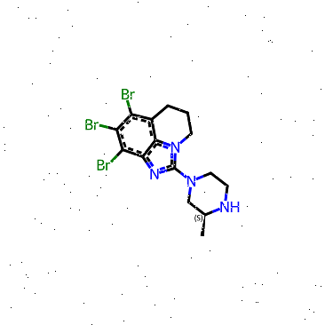 C[C@H]1CN(c2nc3c(Br)c(Br)c(Br)c4c3n2CCC4)CCN1